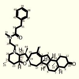 CC1=C2C[C@H]3[C@@H](CC[C@@H]4CC(=O)CC[C@@]43C)[C@@H]2CC[C@@]2(C1)O[C@@H]1C[C@H](C)CN(CCN(C)C(=O)CCc3ccccc3)[C@H]1[C@H]2C